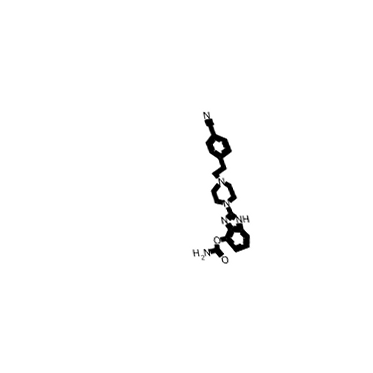 N#Cc1ccc(CCN2CCN(c3nc4c(OC(N)=O)cccc4[nH]3)CC2)cc1